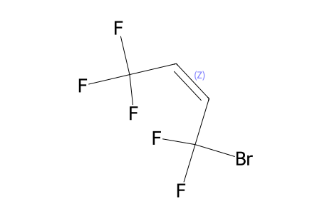 FC(F)(F)/C=C\C(F)(F)Br